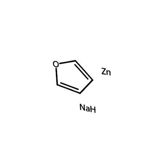 [NaH].[Zn].c1ccoc1